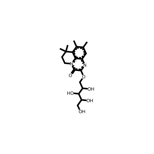 Cc1cc2nc(OCC(O)C(O)C(O)CO)c(=O)n3c2c(c1C)C(C)(C)CC3